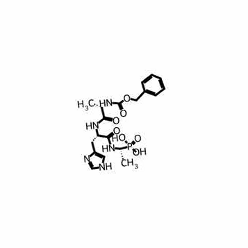 C[C@H](NC(=O)OCc1ccccc1)C(=O)N[C@@H](Cc1c[nH]cn1)C(=O)N[C@@H](C)P(=O)(O)O